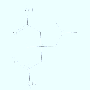 CC(C)CC(C)(CC(=O)O)CC(=O)O